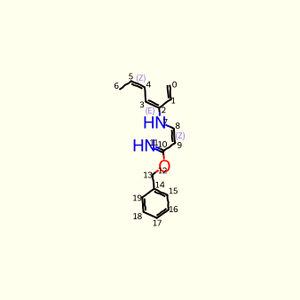 C=C/C(=C\C=C/C)N/C=C\C(=N)OCc1ccccc1